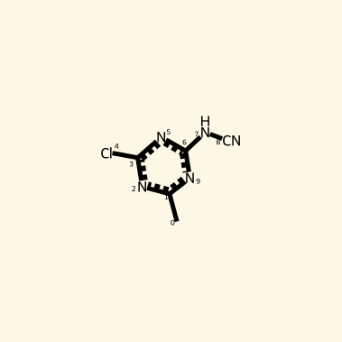 Cc1nc(Cl)nc(NC#N)n1